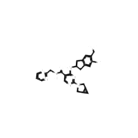 O=C(NCc1ncccn1)c1cnc(N2CC3CC3C2)nc1NC1Cc2cc(Cl)c(CO)cc2C1